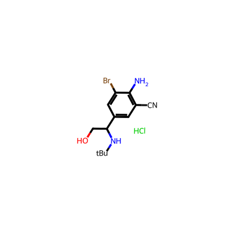 CC(C)(C)NC(CO)c1cc(Br)c(N)c(C#N)c1.Cl